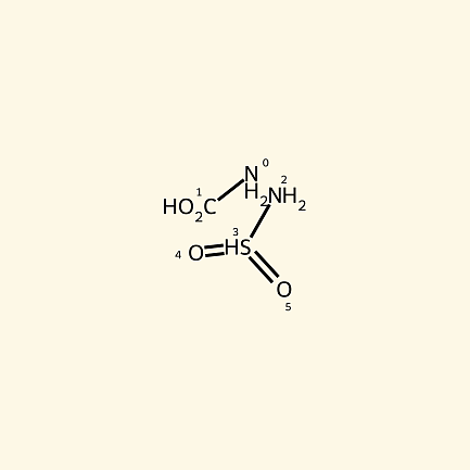 NC(=O)O.N[SH](=O)=O